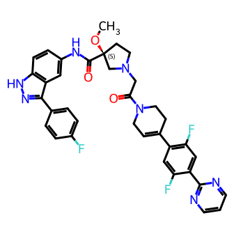 CO[C@@]1(C(=O)Nc2ccc3[nH]nc(-c4ccc(F)cc4)c3c2)CCN(CC(=O)N2CC=C(c3cc(F)c(-c4ncccn4)cc3F)CC2)C1